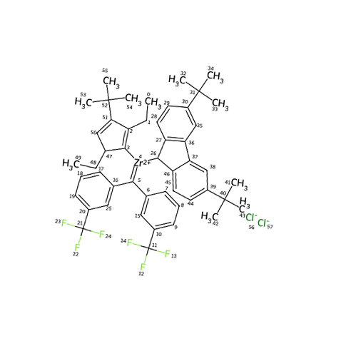 CCC1=[C]([Zr+2](=[C](c2cccc(C(F)(F)F)c2)c2cccc(C(F)(F)F)c2)[CH]2c3ccc(C(C)(C)C)cc3-c3cc(C(C)(C)C)ccc32)C(CC)C=C1C(C)(C)C.[Cl-].[Cl-]